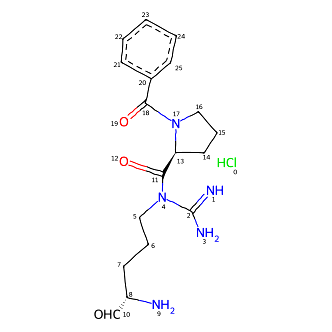 Cl.N=C(N)N(CCC[C@H](N)C=O)C(=O)[C@@H]1CCCN1C(=O)c1ccccc1